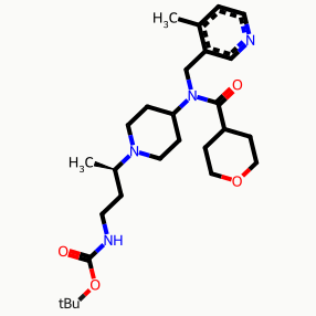 Cc1ccncc1CN(C(=O)C1CCOCC1)C1CCN([C@H](C)CCNC(=O)OC(C)(C)C)CC1